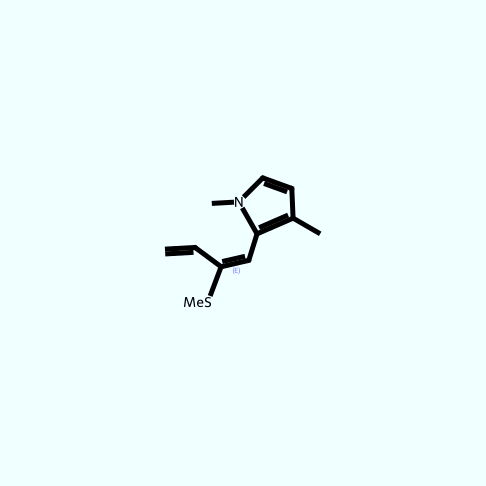 C=C/C(=C\c1c(C)ccn1C)SC